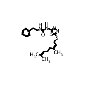 CC(C)=CCCC(C)=CCSc1nnc(NC(=O)NCCc2ccccc2)s1